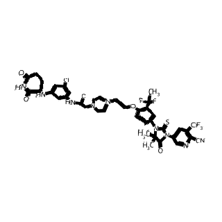 CC(F)(F)c1cc(N2C(=S)N(c3cnc(C#N)c(C(F)(F)F)c3)C(=O)C2(C)C)ccc1OCCN1CCN(CC(=O)Nc2cc(Cl)cc(NC3CCC(=O)NC3=O)c2)CC1